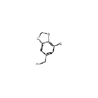 CC(C)Cc1cc(Cl)c2c(c1)OCO2